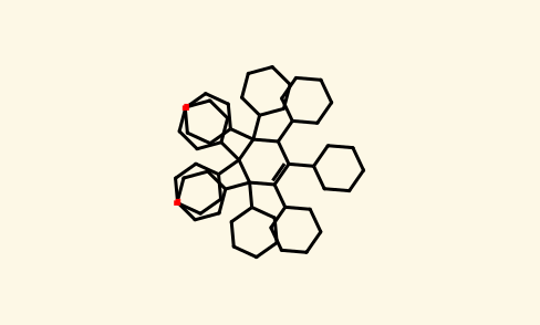 C1CCC(C2=C(C3CCCCC3)C(C3CCCCC3)(C3CCCCC3)C(C3CCCCC3)(C3CCCCC3)C(C3CCCCC3)(C3CCCCC3)C2C2CCCCC2)CC1